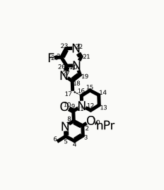 CCCOc1ccc(C)nc1C(=O)N1CCCC[C@H]1Cc1cn2cncc(F)c2n1